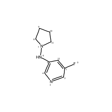 Fc1cncc(NN2CCCC2)c1